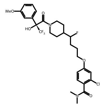 COc1cccc([C@@](O)(C(=O)N2CCC(C(F)CCCOc3ccc(C(=O)N(C)C)c(Cl)c3)CC2)C(F)(F)F)c1